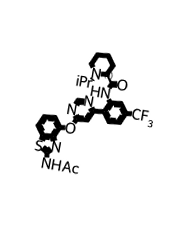 CC(=O)Nc1nc2c(Oc3cc(-c4ccc(C(F)(F)F)cc4NC(=O)[C@@H]4CCCCN4C(C)C)ncn3)cccc2s1